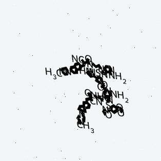 CN1CCN(c2ccc3cc(/C=C(\C#N)C(=O)NCCCn4c(Sc5cc6c(cc5-c5cc[nH]n5)OC(c5cc7c(nc(Sc8cc9c(cc8-c8ncco8)OCO9)n7CCCNC(=O)/C(C#N)=C/c7ccc8cc(N9CCN(C)CC9)ccc8c7)c(N)n5)O6)nc5c(N)nccc54)ccc3c2)CC1